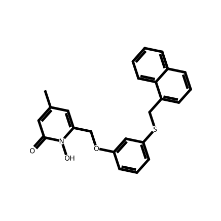 Cc1cc(COc2cccc(SCc3cccc4ccccc34)c2)n(O)c(=O)c1